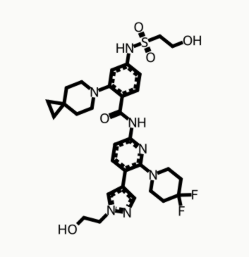 O=C(Nc1ccc(-c2cnn(CCO)c2)c(N2CCC(F)(F)CC2)n1)c1ccc(NS(=O)(=O)CCO)cc1N1CCC2(CC1)CC2